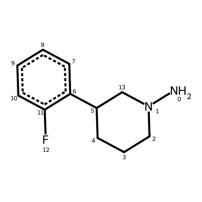 NN1CCCC(c2ccccc2F)C1